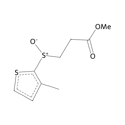 COC(=O)CC[S+]([O-])c1sccc1C